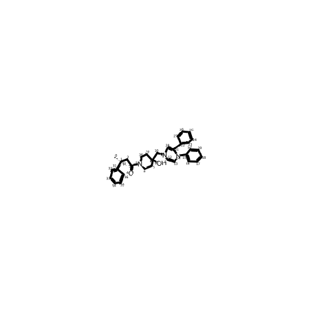 C[C@H](CC(=O)N1CCC(O)(CN2C=CN(c3ccccc3)C(c3ccccc3)=C2)CC1)c1ccccc1